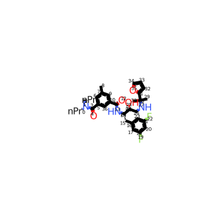 CCCN(CCC)C(=O)c1cc(C)cc(C(=O)N[C@@H](Cc2cc(F)cc(F)c2)[C@H](O)CNC(C)(C)c2ccco2)c1